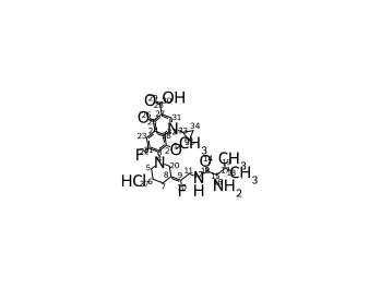 COc1c(N2CCC/C(=C(\F)CNC(=O)[C@@H](N)C(C)C)C2)c(F)cc2c(=O)c(C(=O)O)cn(C3CC3)c12.Cl